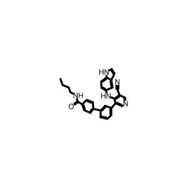 CCCCNC(=O)c1ccc(-c2cccc(-c3cncc(C#N)c3Nc3ccc4[nH]ccc4c3)c2)cc1